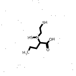 CCCC(C(=O)O)N(S)CCS